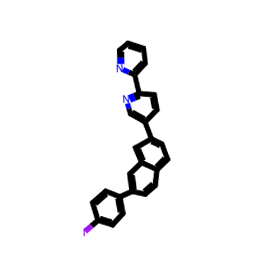 Ic1ccc(-c2ccc3ccc(-c4ccc(-c5ccccn5)nc4)cc3c2)cc1